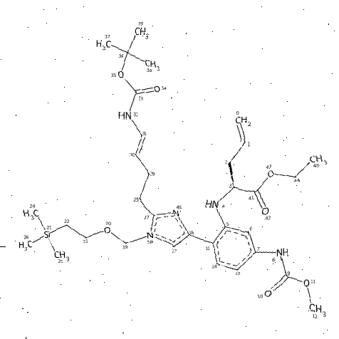 C=CC[C@H](Nc1cc(NC(=O)OC)ccc1-c1cn(COCC[Si](C)(C)C)c(CCC=CNC(=O)OC(C)(C)C)n1)C(=O)OCC